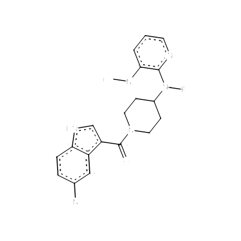 CCN(c1ncccc1NC(C)C)C1CCN(C(=O)c2c[nH]c3ccc(N)cc23)CC1